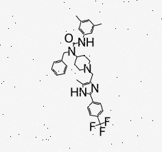 Cc1cc(C)cc(NC(=O)N(Cc2ccccc2)C2CCN(Cc3nc(-c4ccc(C(F)(F)F)cc4)[nH]c3C)CC2)c1